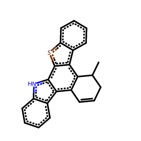 CC1CC=Cc2c1c1c3ccccc3sc1c1[nH]c3ccccc3c21